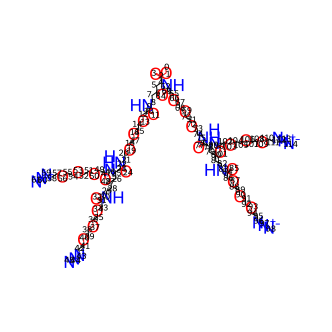 COC(=O)C(CCCCNC(=O)COCCOCCOCCNC(=O)C(CCCCNC(=O)COCCOCCOCCN=[N+]=[N-])NC(=O)COCCOCCOCCN=[N+]=[N-])NC(=O)COCCOCCOCCNC(=O)C(CCCCNC(=O)COCCOCCOCCN=[N+]=[N-])NC(=O)COCCOCCOCCN=[N+]=[N-]